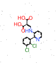 O=C(O)C(=CNc1cccnc1-c1cccc(Cl)c1Cl)C(=O)O